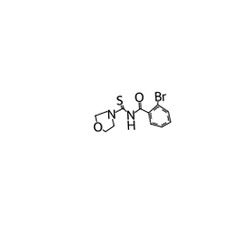 O=C(NC(=S)N1CCOCC1)c1ccccc1Br